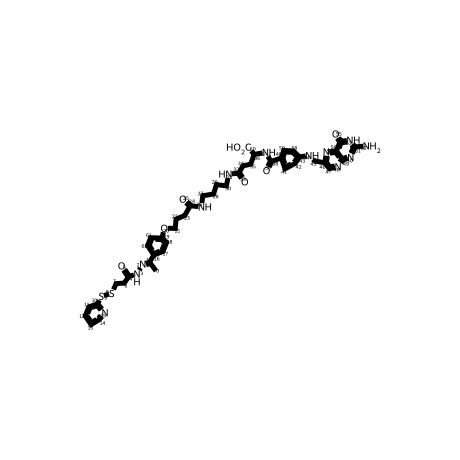 C/C(=N\NC(=O)CCSSc1ccccn1)c1ccc(OCCCC(=O)NCCCCNC(=O)CCC(NC(=O)c2ccc(NCc3cnc4nc(N)[nH]c(=O)c4n3)cc2)C(=O)O)cc1